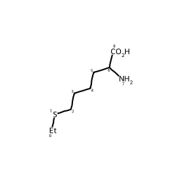 CCSCCCCC(N)C(=O)O